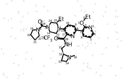 CCOc1ncccc1-c1ccc(N2CCN(C(=O)N3CCC[C@H]3C(F)(F)F)C[C@H]2CC)c(C(=O)NC[C@@H]2CCN2C)n1